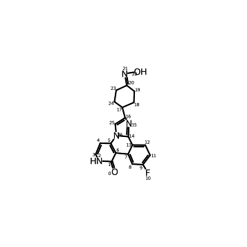 O=c1[nH]ccc2c1c1cc(F)ccc1c1nc(C3CCC(=NO)CC3)cn21